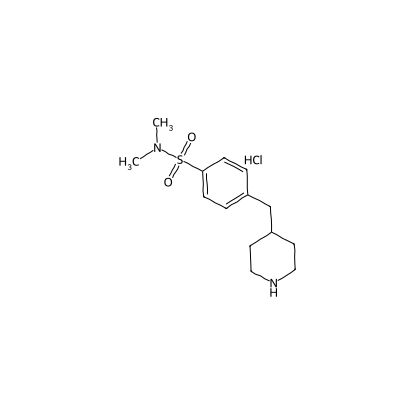 CN(C)S(=O)(=O)c1ccc(CC2CCNCC2)cc1.Cl